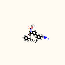 CC(C)(C)OC(=O)n1cc(COc2ccccc2CC(=O)O)c2cc(-c3cccc(CN)c3)ccc21